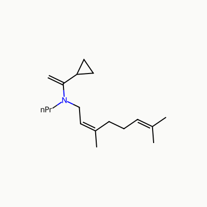 C=C(C1CC1)N(C/C=C(/C)CCC=C(C)C)CCC